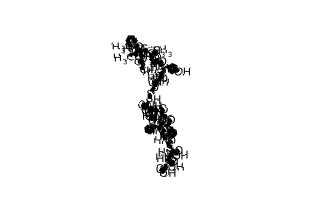 CCCC(=O)OCN(C(=O)[C@@H](NC(=O)[C@H]1CCCCN1C)C(C)CC)[C@H](C[C@H](OC(C)=O)c1nc(C(=O)N[C@@H](Cc2ccc(O)cc2)C[C@H](C)C(=O)NNC(=O)OCCSSC[C@@H](NC(=O)[C@H](CC(=O)O)NC(=O)[C@@H](N)CNC(=O)[C@H](Cc2ccccc2)NC(=O)[C@H](Cc2ccccc2)NC(=O)CCNC(=O)CC[C@H](NC(=S)N[C@@H](CCC(=O)O)C(=O)O)C(=O)O)C(=O)O)cs1)C(C)C